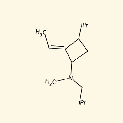 C/C=C1\C(C(C)C)CC1N(C)CC(C)C